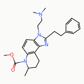 COC(=O)N1c2ccc3c(nc(CCc4ccccc4)n3CCN(C)C)c2CCC1C